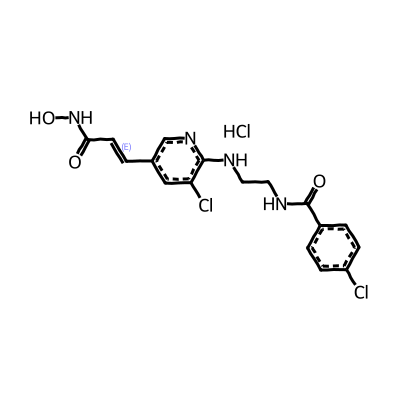 Cl.O=C(/C=C/c1cnc(NCCNC(=O)c2ccc(Cl)cc2)c(Cl)c1)NO